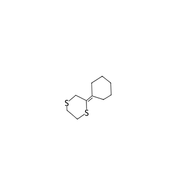 C1CCC(=C2CSCCS2)CC1